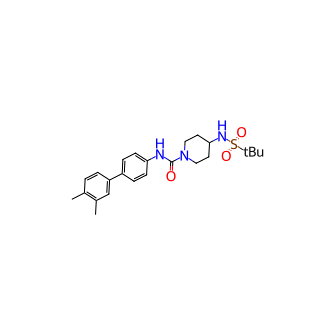 Cc1ccc(-c2ccc(NC(=O)N3CCC(NS(=O)(=O)C(C)(C)C)CC3)cc2)cc1C